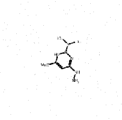 CCCCN(CCCC)N1N=C(NN)C=C(OC)N1